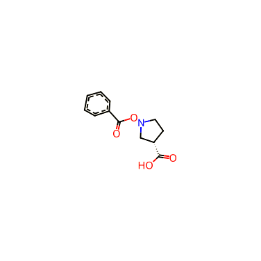 O=C(ON1CC[C@H](C(=O)O)C1)c1ccccc1